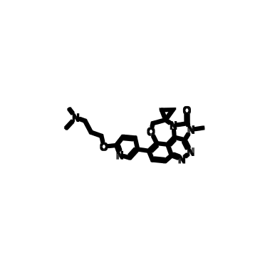 CN(C)CCCOc1ccc(-c2ccc3nnc4c5c3c2OCC2(CC2)n5c(=O)n4C)cn1